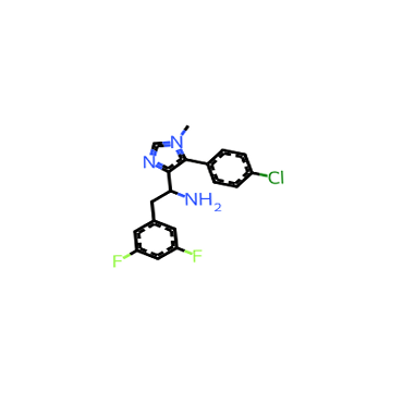 Cn1cnc(C(N)Cc2cc(F)cc(F)c2)c1-c1ccc(Cl)cc1